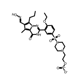 CCCc1c(C=NO)c(C)c2c(=O)[nH]c(-c3cc(S(=O)(=O)N4CCN(CCO[N+](=O)[O-])CC4)ccc3OCC)nn12